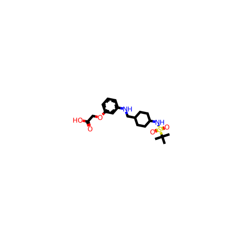 CC(C)(C)S(=O)(=O)NC1CCC(CNc2cccc(OCC(=O)O)c2)CC1